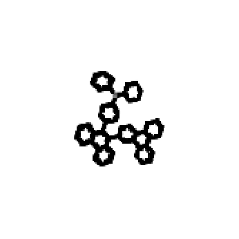 c1ccc(N(c2ccccc2)c2ccc(-c3c(-c4ccc5c6ccccc6c6ccccc6c5c4)c4ccccc4c4ccccc34)cc2)cc1